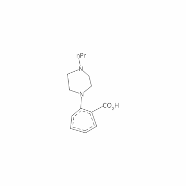 CCCN1CCN(c2ccccc2C(=O)O)CC1